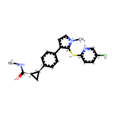 Cn1ccc(-c2ccc([C@H]3C[C@@H]3C(=O)NC(C)(C)C)cc2)c1Sc1ccc(Cl)cn1